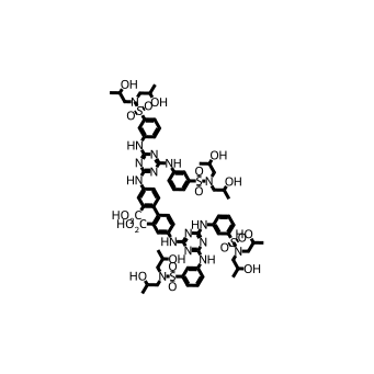 CC(O)CN(CC(C)O)S(=O)(=O)c1cccc(Nc2nc(Nc3cccc(S(=O)(=O)N(CC(C)O)CC(C)O)c3)nc(Nc3ccc(-c4ccc(Nc5nc(Nc6cccc(S(=O)(=O)N(CC(C)O)CC(C)O)c6)nc(Nc6cccc(S(=O)(=O)N(CC(C)O)CC(C)O)c6)n5)cc4C(=O)O)c(C(=O)O)c3)n2)c1